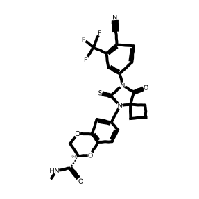 CNC(=O)[C@@H]1COc2cc(N3C(=S)N(c4ccc(C#N)c(C(F)(F)F)c4)C(=O)C34CCC4)ccc2O1